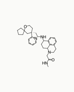 CNC(=O)CN1CCc2cccc3c2C1CCC3NCC[C@@]1(c2ccccn2)CCOC2(CCCC2)C1